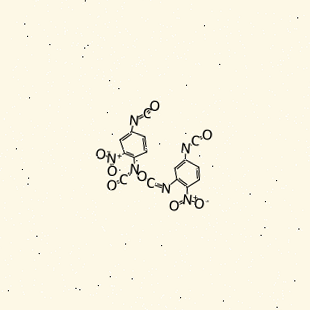 O=C=Nc1ccc(N=C=O)c([N+](=O)[O-])c1.O=C=Nc1ccc([N+](=O)[O-])c(N=C=O)c1